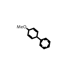 CO[C]1C=CC(c2ccccc2)C=C1